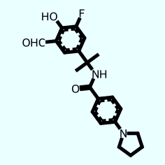 CC(C)(NC(=O)c1ccc(N2CCCC2)cc1)c1cc(F)c(O)c(C=O)c1